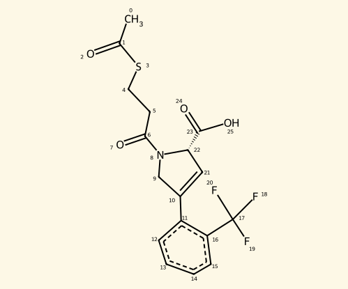 CC(=O)SCCC(=O)N1CC(c2ccccc2C(F)(F)F)=C[C@H]1C(=O)O